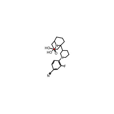 N#Cc1ccc(N2CCCC(C34CCCC(CC(O)C3)N4C(=O)O)C2)c(F)c1